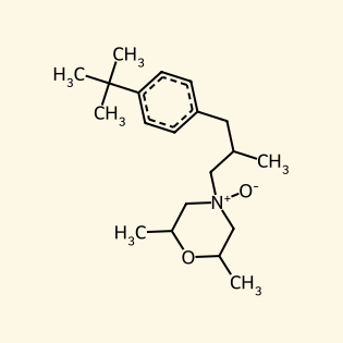 CC(Cc1ccc(C(C)(C)C)cc1)C[N+]1([O-])CC(C)OC(C)C1